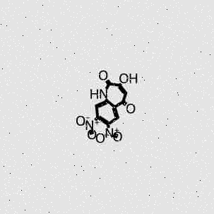 O=c1[nH]c2cc([N+](=O)[O-])c([N+](=O)[O-])cc2c(=O)cc1O